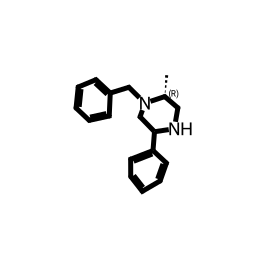 C[C@@H]1CNC(c2ccccc2)CN1Cc1ccccc1